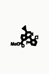 COC(=O)c1ccc2c(C3CC3)cnc(-c3c(F)cccc3Cl)c2c1